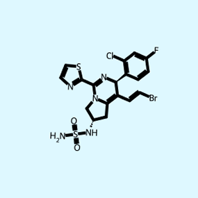 NS(=O)(=O)N[C@H]1CC2=C(/C=C/Br)[C@H](c3ccc(F)cc3Cl)N=C(c3nccs3)N2C1